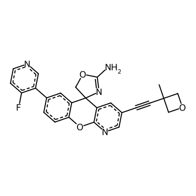 CC1(C#Cc2cnc3c(c2)C2(COC(N)=N2)c2cc(-c4cnccc4F)ccc2O3)COC1